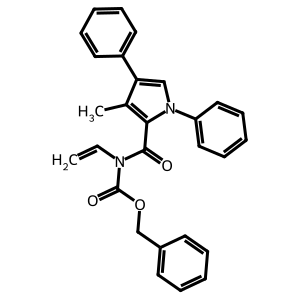 C=CN(C(=O)OCc1ccccc1)C(=O)c1c(C)c(-c2ccccc2)cn1-c1ccccc1